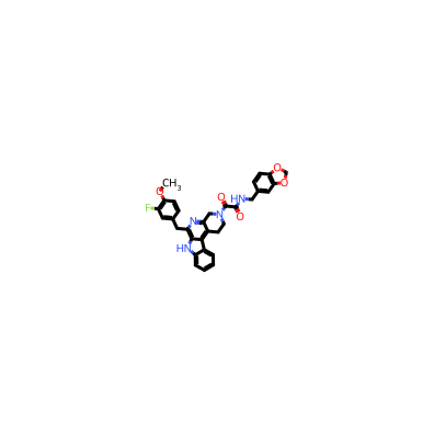 COc1ccc(Cc2nc3c(c4c2[nH]c2ccccc24)CCN(C(=O)C(=O)NCc2ccc4c(c2)OCO4)C3)cc1F